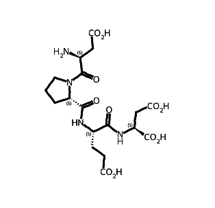 N[C@@H](CC(=O)O)C(=O)N1CCC[C@H]1C(=O)N[C@@H](CCC(=O)O)C(=O)N[C@@H](CC(=O)O)C(=O)O